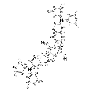 Cc1cc(C)cc(N(c2cc(C)cc(C)c2)c2ccc3cc4c(cc3c2)oc2c(C#N)c3oc5cc6cc(N(c7cc(C)cc(C)c7)c7cc(C)cc(C)c7)ccc6cc5c3c(C#N)c24)c1